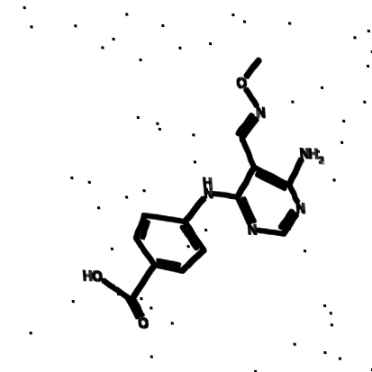 CO/N=C/c1c(N)ncnc1Nc1ccc(C(=O)O)cc1